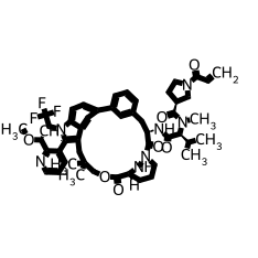 C=CC(=O)N1CC[C@H](C(=O)N(C)[C@H](C(=O)N[C@H]2Cc3cccc(c3)-c3ccc4c(c3)c(c(-c3cccnc3[C@H](C)OC)n4CC(F)(F)F)CC(C)(C)COC(=O)[C@@H]3CCCN(N3)C2=O)C(C)C)C1